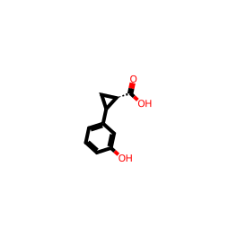 O=C(O)[C@H]1CC1c1cccc(O)c1